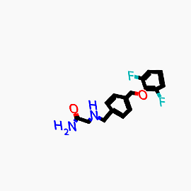 NC(=O)CNCc1ccc(COc2c(F)cccc2F)cc1